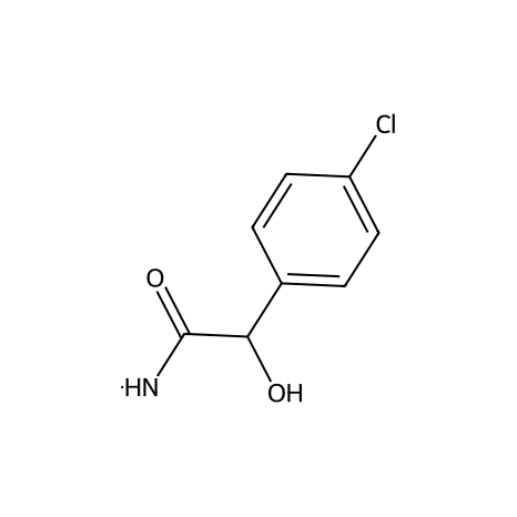 [NH]C(=O)C(O)c1ccc(Cl)cc1